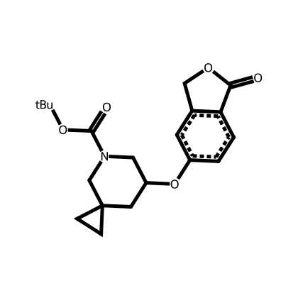 CC(C)(C)OC(=O)N1CC(Oc2ccc3c(c2)COC3=O)CC2(CC2)C1